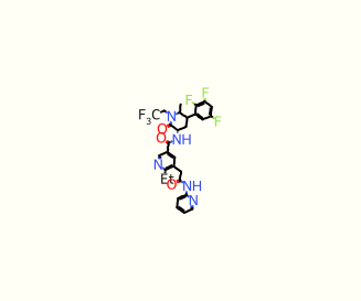 CCc1ncc(C(=O)N[C@H]2CC(c3cc(F)cc(F)c3F)C(C)N(CC(F)(F)F)C2=O)cc1CC(=O)Nc1ccccn1